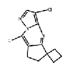 Clc1cnn2c(Cl)c3c(nc12)C1(CCC1)CC3